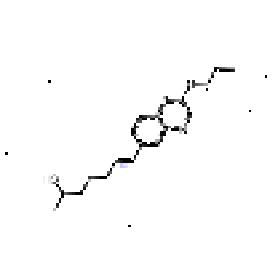 C=CCOc1cnc2cc(/C=C/CCCC(C)O)ccc2n1